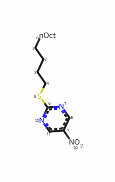 CCCCCCCCCCCCSc1ncc([N+](=O)[O-])cn1